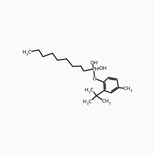 CCCCCCCCC[PH](O)(O)Oc1ccc(C)cc1C(C)(C)C